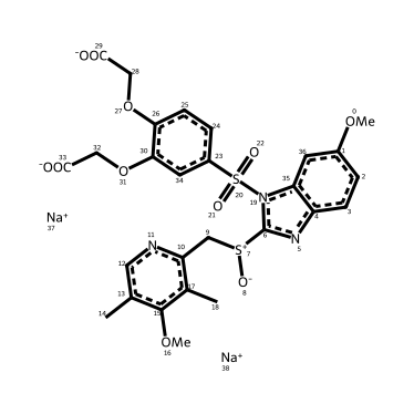 COc1ccc2nc([S+]([O-])Cc3ncc(C)c(OC)c3C)n(S(=O)(=O)c3ccc(OCC(=O)[O-])c(OCC(=O)[O-])c3)c2c1.[Na+].[Na+]